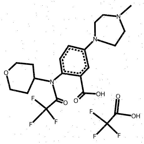 CN1CCN(c2ccc(N(C(=O)C(F)(F)F)C3CCOCC3)c(C(=O)O)c2)CC1.O=C(O)C(F)(F)F